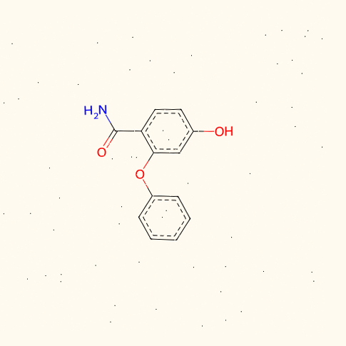 NC(=O)c1ccc(O)cc1Oc1ccccc1